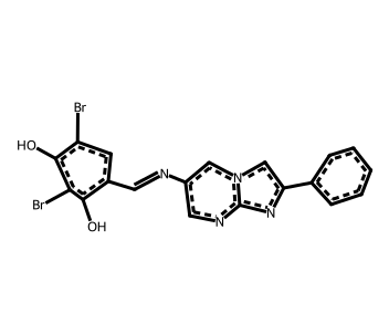 Oc1c(Br)cc(/C=N/c2cnc3nc(-c4ccccc4)cn3c2)c(O)c1Br